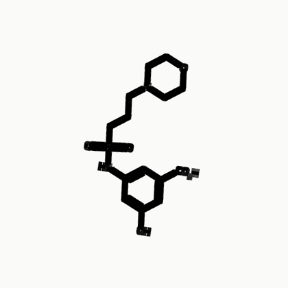 O=C(O)c1cc(O)cc(NS(=O)(=O)CCCN2CCOCC2)c1